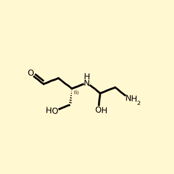 NCC(O)N[C@H](CO)CC=O